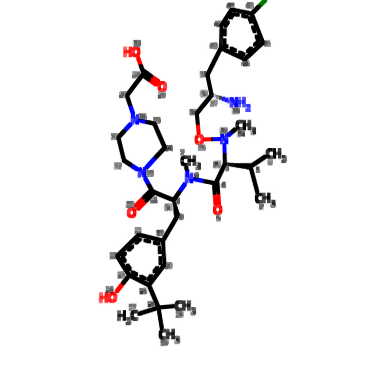 CC(C)[C@@H](C(=O)N(C)[C@@H](Cc1ccc(O)c(C(C)(C)C)c1)C(=O)N1CCN(CC(=O)O)CC1)N(C)OC[C@@H](N)Cc1ccc(F)cc1